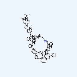 CO[C@H]1/C=C/C[C@H](C)C[S@@](=O)(NC(=O)c2cc(CN3CCN(C(C)C)[C@H](C)C3)n(C)c2)=NC(=O)c2ccc3c(c2)N(C[C@@H]2CC[C@H]21)C[C@@]1(CCCc2cc(Cl)ccc21)CO3